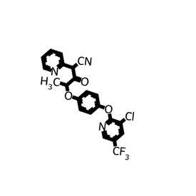 CC(Oc1ccc(Oc2ncc(C(F)(F)F)cc2Cl)cc1)C(=O)C(C#N)c1ccccn1